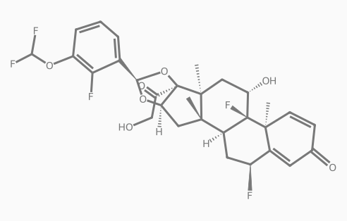 C[C@]12C[C@H](O)[C@@]3(F)[C@@H](C[C@H](F)C4=CC(=O)C=C[C@@]43C)[C@]1(C)C[C@H]1O[C@@H](c3cccc(OC(F)F)c3F)O[C@]12C(=O)CO